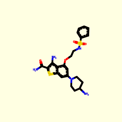 NC(=O)c1sc2cc(N3CCC(N)CC3)cc(OCCNS(=O)(=O)c3ccccc3)c2c1N